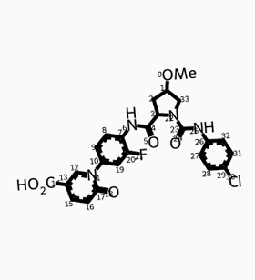 COC1CC(C(=O)Nc2ccc(-n3cc(C(=O)O)ccc3=O)cc2F)N(C(=O)Nc2ccc(Cl)cc2)C1